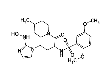 COc1ccc(OC)c(S(=O)(=O)NC(CCn2ccnc2NO)C(=O)N2CCC(C)CC2)c1